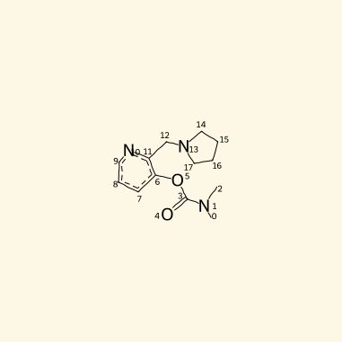 CN(C)C(=O)Oc1cccnc1CN1CCCC1